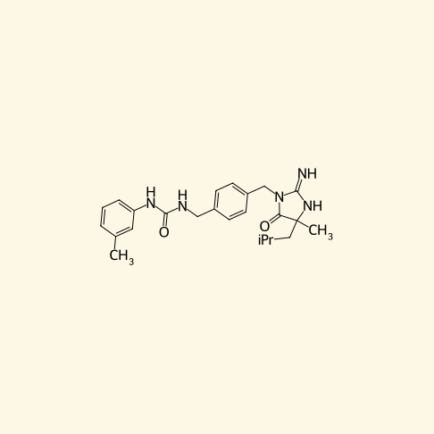 Cc1cccc(NC(=O)NCc2ccc(CN3C(=N)NC(C)(CC(C)C)C3=O)cc2)c1